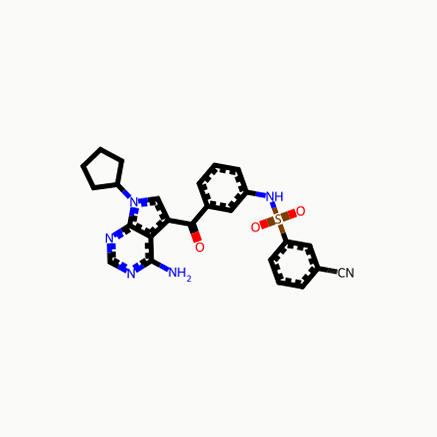 N#Cc1cccc(S(=O)(=O)Nc2cccc(C(=O)c3cn(C4CCCC4)c4ncnc(N)c34)c2)c1